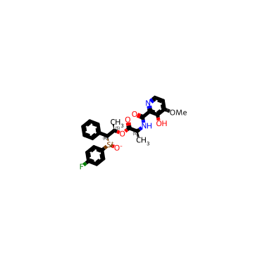 COc1ccnc(C(=O)N[C@@H](C)C(=O)O[C@@H](C)[C@@H](c2ccccc2)[S+]([O-])c2ccc(F)cc2)c1O